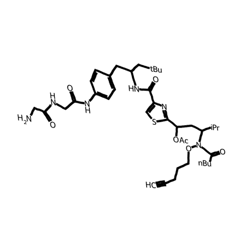 C#CCCCON(C(=O)CCCC)C(CC(OC(C)=O)c1nc(C(=O)NC(Cc2ccc(NC(=O)CNC(=O)CN)cc2)CC(C)(C)C)cs1)C(C)C